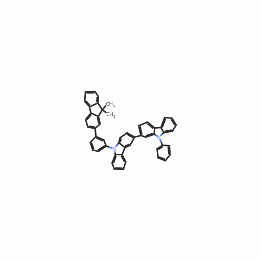 CC1(C)c2ccccc2-c2ccc(-c3cccc(-n4c5ccccc5c5cc(-c6ccc7c8ccccc8n(-c8ccccc8)c7c6)ccc54)c3)cc21